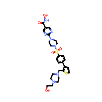 O=C(NO)c1cnc(N2CCN(S(=O)(=O)c3ccc(-c4ccsc4CN4CCN(CCO)CC4)cc3)CC2)nc1